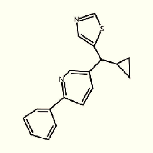 c1ccc(-c2ccc(C(c3cncs3)C3CC3)cn2)cc1